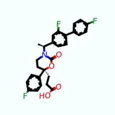 C[C@@H](c1ccc(-c2ccc(F)cc2)c(F)c1)N1CC[C@](CCC(=O)O)(c2ccc(F)cc2)OC1=O